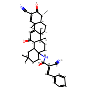 C[C@H]1C(=O)C(C#N)=CC2(C)C3=CC(=O)C4C5CC(C)(C)CCC5(NC(=O)/C(C#N)=C/c5ccccc5)CC[C@@]4(C)C3(C)CCC12